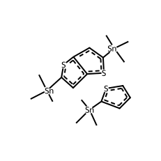 [CH3][Sn]([CH3])([CH3])[c]1cc2s[c]([Sn]([CH3])([CH3])[CH3])cc2s1.[CH3][Sn]([CH3])([CH3])[c]1cccs1